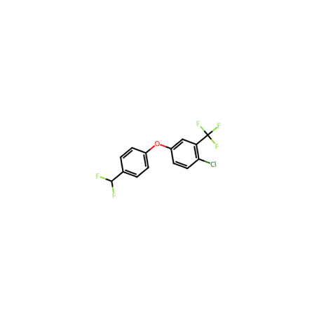 FC(F)c1ccc(Oc2ccc(Cl)c(C(F)(F)F)c2)cc1